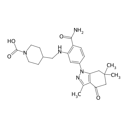 Cc1nn(-c2ccc(C(N)=O)c(NCC3CCN(C(=O)O)CC3)c2)c2c1C(=O)CC(C)(C)C2